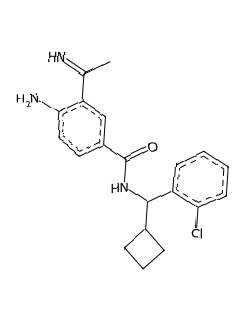 CC(=N)c1cc(C(=O)NC(c2ccccc2Cl)C2CCC2)ccc1N